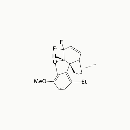 CCc1ccc(OC)c2c1[C@@]13CCC[C@@H](C)C1C=CC(F)(F)[C@H]3O2